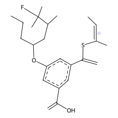 C=C(O)c1cc(OC(CCC)CC(C)C(C)(C)F)cc(C(=C)S/C(C)=C\C)c1